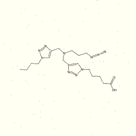 CCCCn1cc(CN(CCCN=[N+]=[N-])Cc2cn(CCCCC(=O)O)nn2)nn1